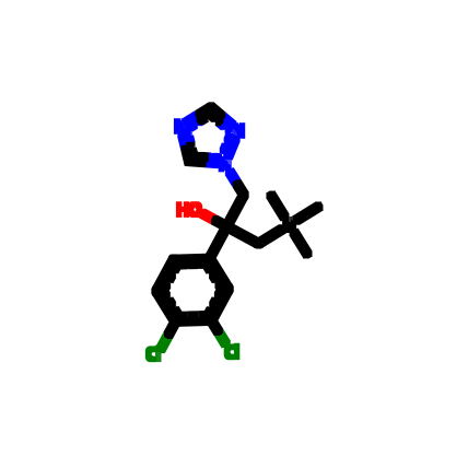 C[Si](C)(C)CC(O)(Cn1cncn1)c1ccc(Cl)c(Cl)c1